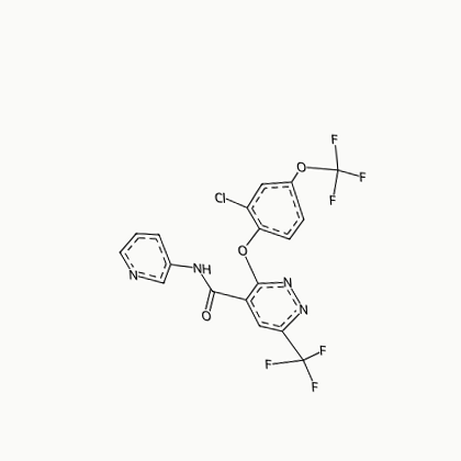 O=C(Nc1cccnc1)c1cc(C(F)(F)F)nnc1Oc1ccc(OC(F)(F)F)cc1Cl